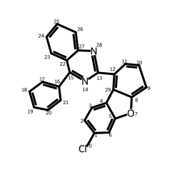 Clc1ccc2c(c1)oc1cccc(-c3nc(-c4ccccc4)c4ccccc4n3)c12